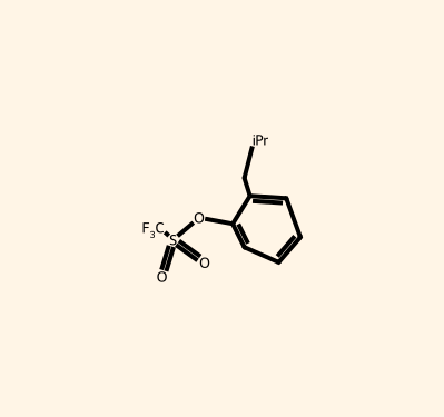 CC(C)Cc1ccccc1OS(=O)(=O)C(F)(F)F